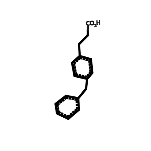 O=C(O)CCc1ccc(Cc2ccccc2)cc1